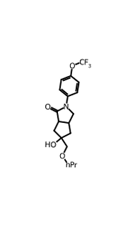 CCCOCC1(O)CC2CN(c3ccc(OC(F)(F)F)cc3)C(=O)C2C1